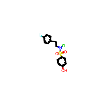 O=S(=O)(c1ccc(O)cc1)N(Cl)CCc1ccc(F)cc1